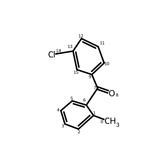 Cc1ccccc1C(=O)c1cccc(Cl)c1